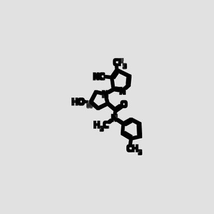 Cc1cccc(N(C)C(=O)C2C[C@H](O)CN2c2nccc(C(F)(F)F)c2C#N)c1